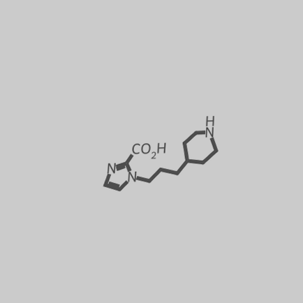 O=C(O)c1nccn1CCCC1CCNCC1